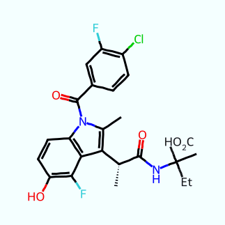 CCC(C)(NC(=O)[C@H](C)c1c(C)n(C(=O)c2ccc(Cl)c(F)c2)c2ccc(O)c(F)c12)C(=O)O